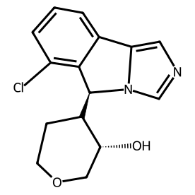 O[C@@H]1COCCC1[C@H]1c2c(Cl)cccc2-c2cncn21